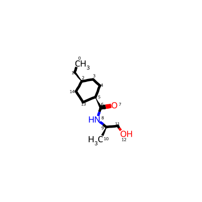 CC[C@H]1CC[C@@H](C(=O)N[C@H](C)CO)CC1